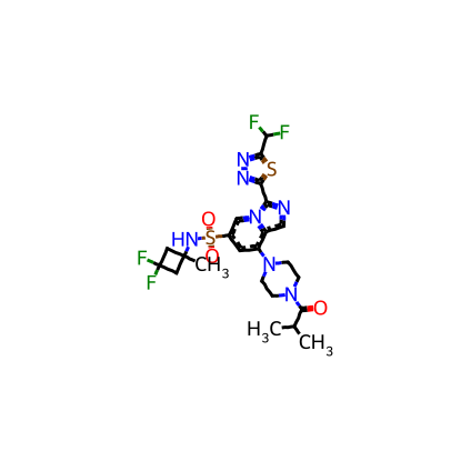 CC(C)C(=O)N1CCN(c2cc(S(=O)(=O)NC3(C)CC(F)(F)C3)cn3c(-c4nnc(C(F)F)s4)ncc23)CC1